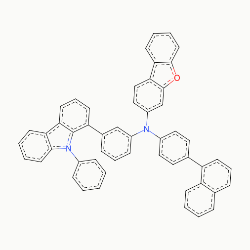 c1ccc(-n2c3ccccc3c3cccc(-c4cccc(N(c5ccc(-c6cccc7ccccc67)cc5)c5ccc6c(c5)oc5ccccc56)c4)c32)cc1